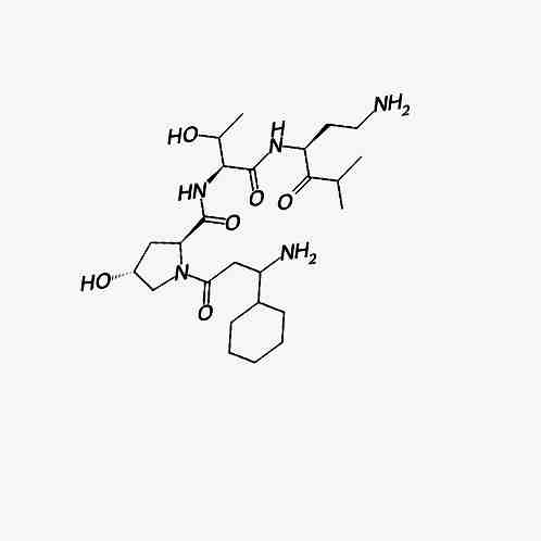 CC(C)C(=O)[C@H](CCN)NC(=O)[C@@H](NC(=O)[C@@H]1C[C@@H](O)CN1C(=O)CC(N)C1CCCCC1)C(C)O